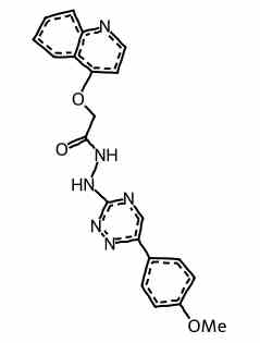 COc1ccc(-c2cnc(NNC(=O)COc3ccnc4ccccc34)nn2)cc1